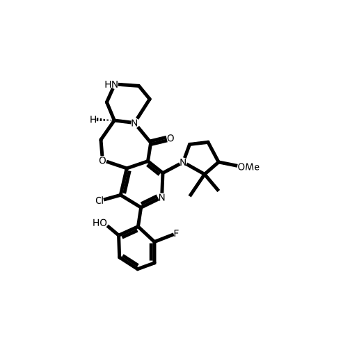 COC1CCN(c2nc(-c3c(O)cccc3F)c(Cl)c3c2C(=O)N2CCNC[C@@H]2CO3)C1(C)C